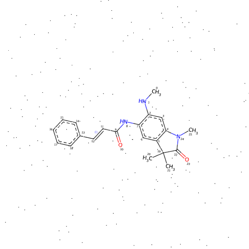 CNc1cc2c(cc1NC(=O)/C=C/c1ccccc1)C(C)(C)C(=O)N2C